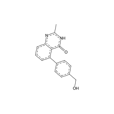 Cc1nc2cccc(-c3ccc(CO)cc3)c2c(=O)[nH]1